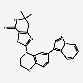 CC1(C)Cc2nc(N3CCOc4ccc(-c5cnn6ccccc56)cc43)sc2C(=O)N1